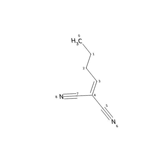 CCCC=C(C#N)C#N